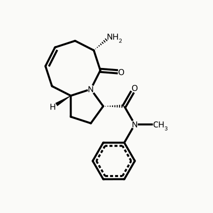 CN(C(=O)[C@@H]1CC[C@@H]2C/C=C\C[C@H](N)C(=O)N21)c1ccccc1